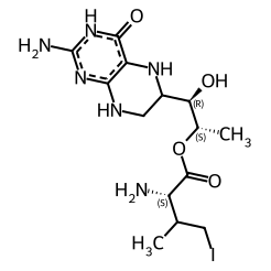 CC(CI)[C@H](N)C(=O)O[C@@H](C)[C@H](O)C1CNc2nc(N)[nH]c(=O)c2N1